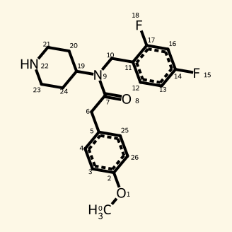 COc1ccc(CC(=O)N(Cc2ccc(F)cc2F)C2CCNCC2)cc1